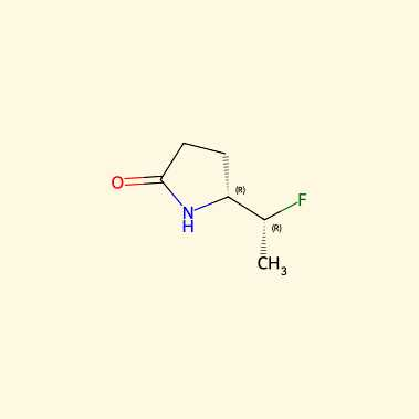 C[C@@H](F)[C@H]1CCC(=O)N1